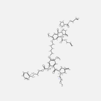 C=CCOC(=O)Nc1cc(OCCCCCOc2cc(NC(=O)OCCSSc3ccccn3)c(C(=O)N3CC(=C)C[C@H]3/C=N/OC)cc2OC)c(OC)cc1C(=O)N1CC(=C)C[C@H]1C1OCCN1C(=O)OCC=C